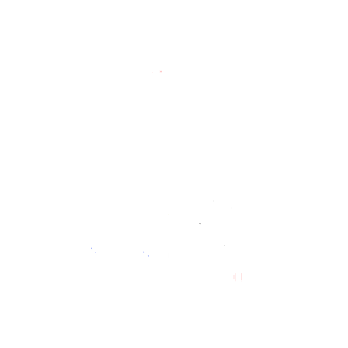 CC(C)(Sc1ncncc1-c1ccc(CO)cc1)C(=O)O